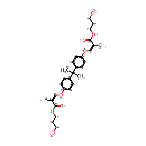 CC(=COc1ccc(C(C)(C)c2ccc(OC=C(C)C(=O)OCCCO)cc2)cc1)C(=O)OCCCO